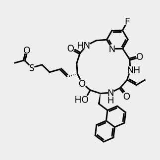 C/C=C1\NC(=O)c2cc(F)cc(n2)CNC(=O)C[C@@H](/C=C/CCSC(C)=O)OC(O)[C@H](Cc2cccc3ccccc23)NC1=O